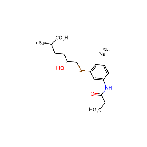 CCCC[C@H](CC[C@@H](O)CSc1cccc(NC(=O)CC(=O)O)c1)C(=O)O.[Na].[Na]